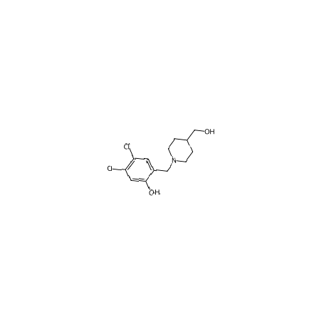 OCC1CCN(Cc2cc(Cl)c(Cl)cc2O)CC1